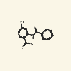 O=C(S)c1ccc(O)cc1NC(=S)c1ccccc1